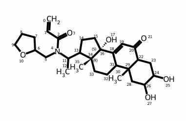 C=CC(=O)N(CC1CCCO1)C(C)C1CC[C@@]2(O)C3=CC(=O)C4CC(O)C(O)CC4(C)C3CC[C@]12C